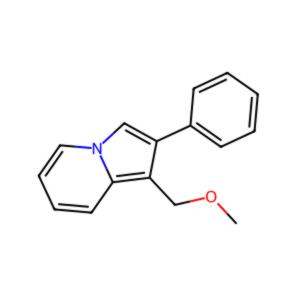 COCc1c(-c2ccccc2)cn2ccccc12